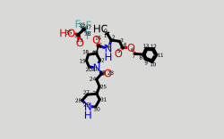 C#CC(CC(=O)OCc1ccccc1)NC(=O)[C@@H]1CCCN(C(=O)CCC2CCNCC2)C1.O=C(O)C(F)(F)F